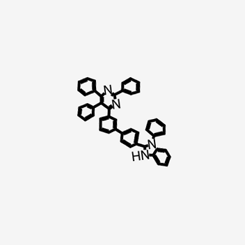 c1ccc(-c2nc(-c3ccccc3)c(-c3ccccc3)c(-c3cccc(-c4ccc(C5Nc6ccccc6N5c5ccccc5)cc4)c3)n2)cc1